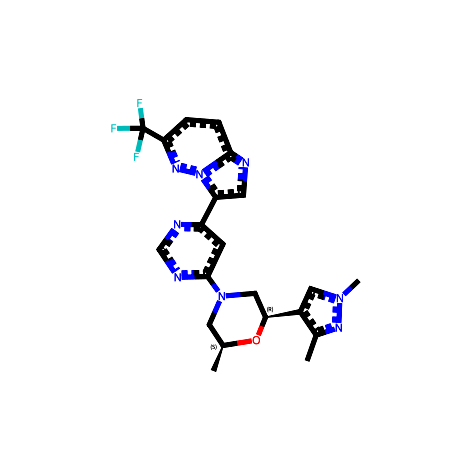 Cc1nn(C)cc1[C@@H]1CN(c2cc(-c3cnc4ccc(C(F)(F)F)nn34)ncn2)C[C@H](C)O1